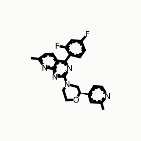 Cc1cc([C@@H]2CN(c3nc(-c4ccc(F)cc4F)c4ccc(C)nc4n3)CCO2)ccn1